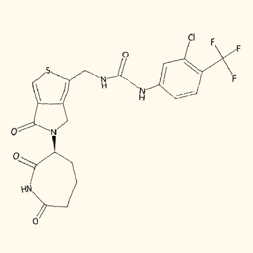 O=C1CCC[C@H](N2Cc3c(csc3CNC(=O)Nc3ccc(C(F)(F)F)c(Cl)c3)C2=O)C(=O)N1